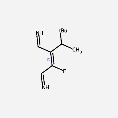 CC(/C(C=N)=C(\F)C=N)C(C)(C)C